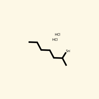 CCCCC[CH](C)[Sn].Cl.Cl